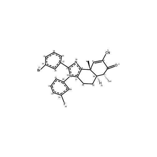 C[C@H]1C(=O)C(C#N)=C[C@@]2(C)c3nc(-c4cccc(Br)c4)n(-c4cccc(F)c4)c3CC[C@H]12